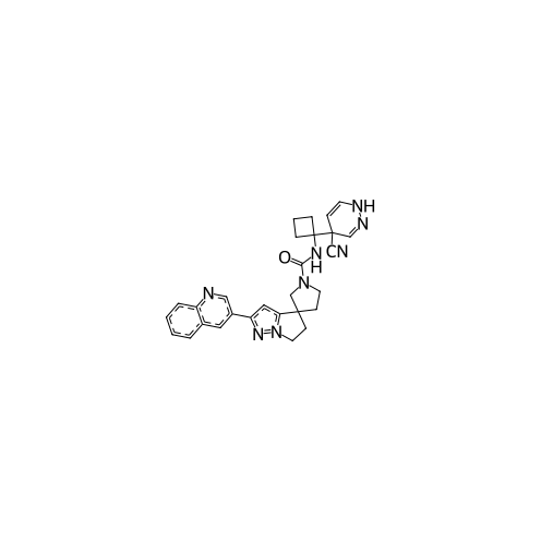 N#CC1(C2(NC(=O)N3CCC4(CCn5nc(-c6cnc7ccccc7c6)cc54)C3)CCC2)C=CNN=C1